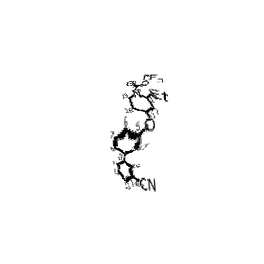 CCC1CC(Oc2cccc(-c3cccc(C#N)c3)c2)CCN1C(=O)OC(F)(F)F